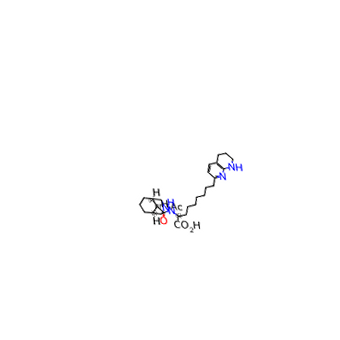 CC(=O)N1C[C@H]2CCC[C@@H](C1)[C@H]2C(=O)N[C@@H](CCCCCCCc1ccc2c(n1)NCCC2)C(=O)O